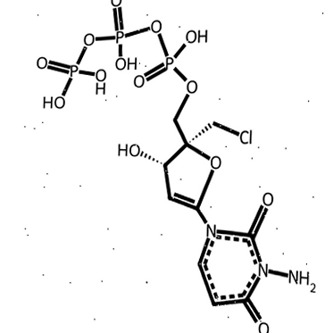 Nn1c(=O)ccn(C2=C[C@H](O)[C@@](CCl)(COP(=O)(O)OP(=O)(O)OP(=O)(O)O)O2)c1=O